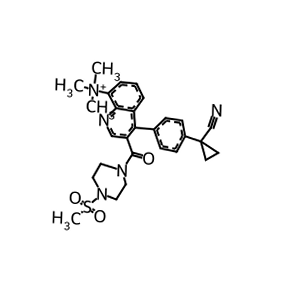 C[N+](C)(C)c1cccc2c(-c3ccc(C4(C#N)CC4)cc3)c(C(=O)N3CCN(S(C)(=O)=O)CC3)cnc12